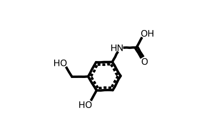 O=C(O)Nc1ccc(O)c(CO)c1